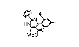 C#Cc1cc(F)ccc1[C@@H]1N=C(c2nccs2)NC(C)=C1C(=O)OC